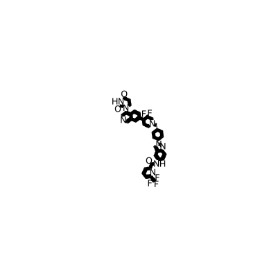 O=C1CCN(c2cncc3cc(C4CCN(C[C@H]5CC[C@H](n6cc7cc(NC(=O)c8cccc(C(F)(F)F)n8)ccc7n6)CC5)CC4(F)F)ccc23)C(=O)N1